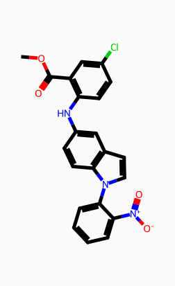 COC(=O)c1cc(Cl)ccc1Nc1ccc2c(ccn2-c2ccccc2[N+](=O)[O-])c1